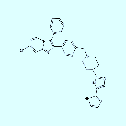 Clc1ccn2c(-c3ccccc3)c(-c3ccc(CN4CCC(c5nnc(-c6ccc[nH]6)[nH]5)CC4)cc3)nc2c1